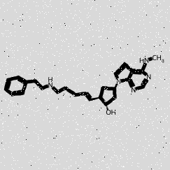 CNc1ncnc2c1ccn2[C@H]1C[C@H](O)[C@@H](/C=C/CCCNCCc2ccccc2)C1